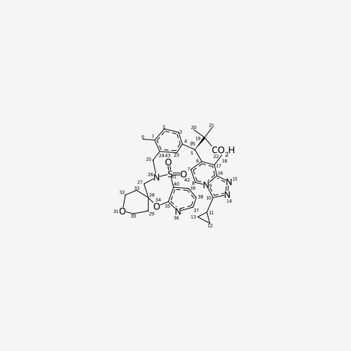 Cc1ccc([C@H](c2ccn3c(C4CC4)nnc3c2C)C(C)(C)C(=O)O)cc1CN1CC2(CCOCC2)Oc2ncccc2S1(=O)=O